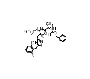 CCOC(=O)CC(NC(=O)[C@H](C)NC(=O)OCc1ccccc1)C(=O)Cn1nnc(Cc2c(Cl)cccc2Cl)n1